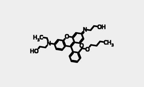 CCCCOC(=O)c1ccccc1-c1c2cc/c(=N\CCO)cc-2oc2cc(N(CC)CCO)ccc12